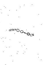 CCCCCCC1CCC(C2CC=C(C#Cc3ccc(C#N)cc3)CC2)CC1